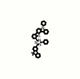 CC1(C)c2ccccc2-c2cc(-c3nc(-c4ccccc4)nc(-c4cccc5c4sc4c5ccc5c4c4ccccc4n5-c4ccccc4)n3)ccc21